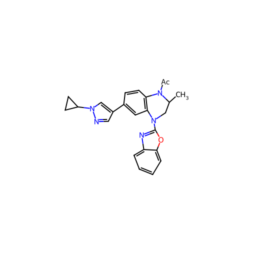 CC(=O)N1c2ccc(-c3cnn(C4CC4)c3)cc2N(c2nc3ccccc3o2)CC1C